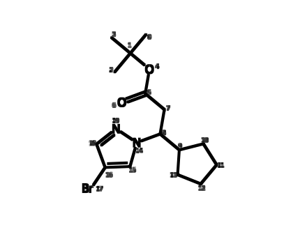 CC(C)(C)OC(=O)CC(C1CCCC1)n1cc(Br)cn1